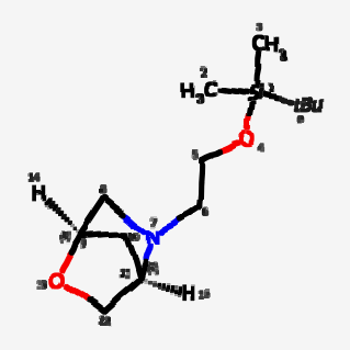 CC(C)(C)[Si](C)(C)OCCN1C[C@H]2C[C@@H]1CO2